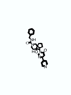 O=C(NCc1ccccc1)N1CCC(O)(Cn2cnc(-c3ccncc3)cc2=O)C2(CCCC2)C1